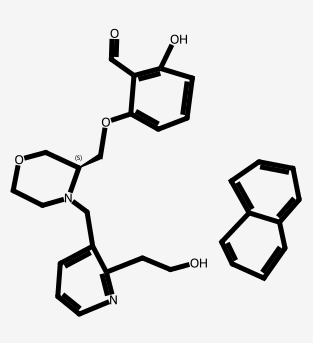 O=Cc1c(O)cccc1OC[C@@H]1COCCN1Cc1cccnc1CCO.c1ccc2ccccc2c1